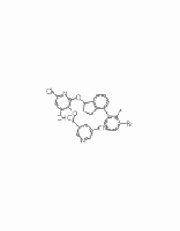 Cc1c(Br)cccc1-c1cccc2c1CCC2Oc1nc(Cl)cc(C=O)c1OCc1cncc(C#N)c1